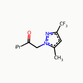 Cc1cc(C(F)(F)F)nn1CC(=O)C(C)C